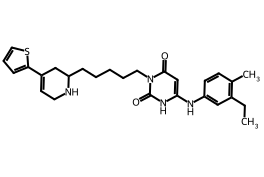 CCc1cc(Nc2cc(=O)n(CCCCCC3CC(c4cccs4)=CCN3)c(=O)[nH]2)ccc1C